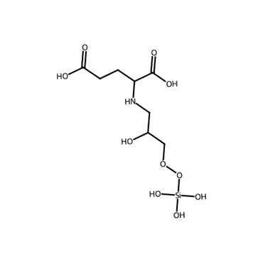 O=C(O)CCC(NCC(O)COO[Si](O)(O)O)C(=O)O